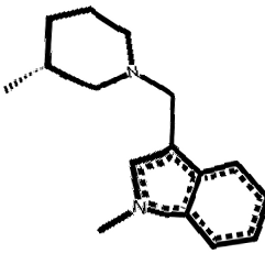 C[C@@H]1CCCN(Cc2cn(C)c3ccccc23)C1